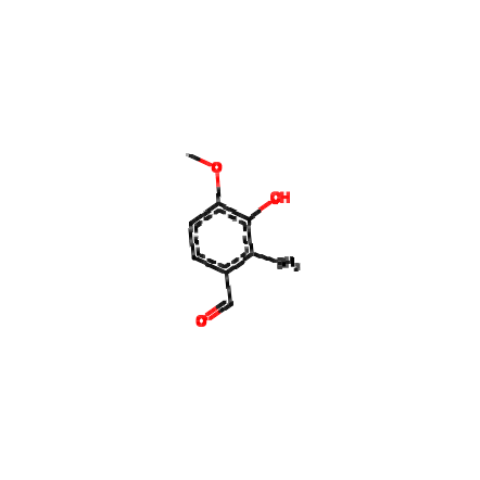 Bc1c(C=O)ccc(OC)c1O